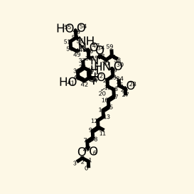 CCC(C)OC(=O)/C=C/C=C(\C)CC/C=C/C=C/C[C@H](C)[C@@H](O)[C@@H](CCC(C)=O)C(=O)N[C@H](C(=O)N[C@@H](Cc1cc(O)cc(F)c1)C(=O)N1CCCC(C(=O)O)N1)C(C)C